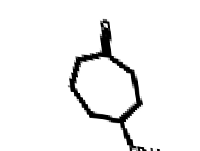 O=C1CCC[C@H](C(=O)O)CC1